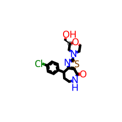 O=C1NCCC(c2ccc(Cl)cc2)c2nc(N3CCO[C@H](CO)C3)sc21